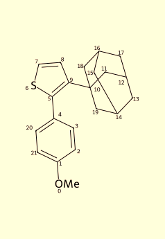 COc1ccc(-c2sccc2C23CC4CC(CC(C4)C2)C3)cc1